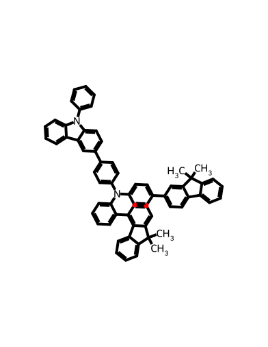 CC1(C)c2ccccc2-c2ccc(-c3ccc(N(c4ccc(-c5ccc6c(c5)c5ccccc5n6-c5ccccc5)cc4)c4ccccc4-c4cccc5c4-c4ccccc4C5(C)C)cc3)cc21